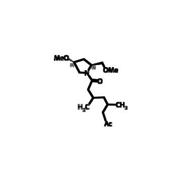 COC[C@@H]1C[C@@H](OC)CN1C(=O)CC(C)CC(C)CC(C)=O